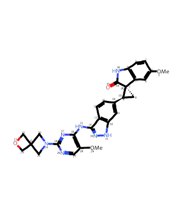 COc1ccc2c(c1)[C@]1(C[C@H]1c1ccc3c(Nc4nc(N5CC6(COC6)C5)ncc4OC)n[nH]c3c1)C(=O)N2